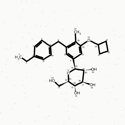 CCc1ccc(Cc2cc([C@@H]3O[C@H](CO)[C@@H](O)[C@H](O)[C@H]3O)cc(OC3CCC3)c2C)cc1